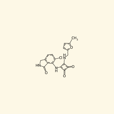 Cc1ccc(CNc2c(Nc3c(Cl)ccc4c3C(=O)NC4)c(=O)c2=O)o1